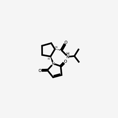 CC(C)NC(=O)[C@H]1CCC[C@@H]1N1C(=O)C=CC1=O